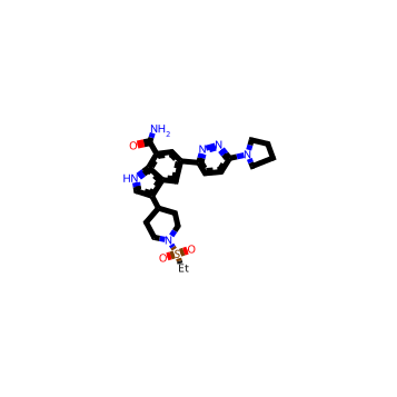 CCS(=O)(=O)N1CCC(c2c[nH]c3c(C(N)=O)cc(-c4ccc(N5CCCC5)nn4)cc23)CC1